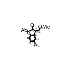 CO/C=C1\C(=O)N(C(C)=O)c2ccc(C(C)=O)cc21